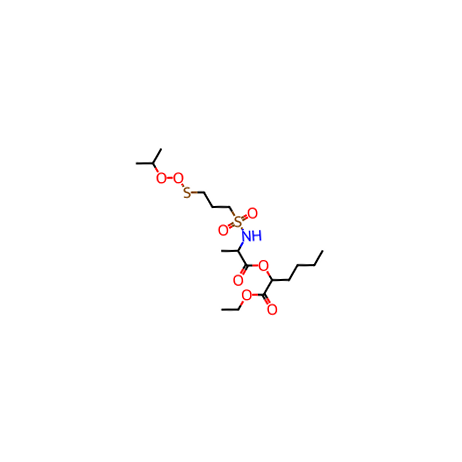 CCCCC(OC(=O)C(C)NS(=O)(=O)CCCSOOC(C)C)C(=O)OCC